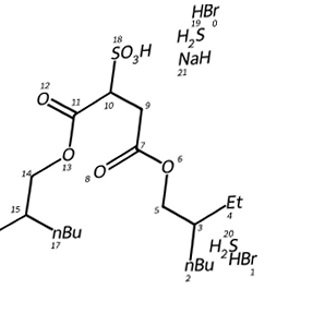 Br.Br.CCCCC(CC)COC(=O)CC(C(=O)OCC(CC)CCCC)S(=O)(=O)O.S.S.[NaH]